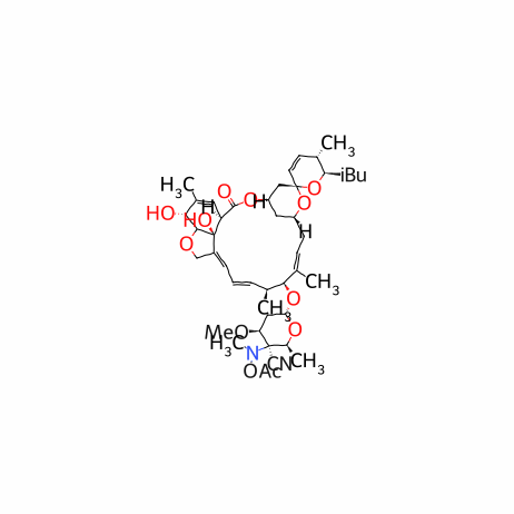 CCC(C)[C@H]1O[C@]2(C=C[C@@H]1C)C[C@@H]1C[C@@H](C/C=C(\C)[C@@H](O[C@H]3C[C@H](OC)[C@](C#N)(N(C)OC(C)=O)[C@H](C)O3)[C@@H](C)/C=C/C=C3\COC4[C@H](O)C(C)=C[C@@H](C(=O)O1)[C@]34O)O2